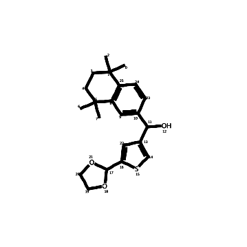 CC1(C)CCC(C)(C)c2cc(C(O)c3csc(C4OCCO4)c3)ccc21